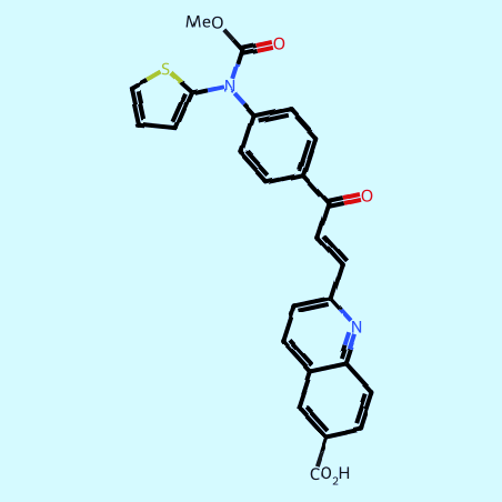 COC(=O)N(c1ccc(C(=O)/C=C/c2ccc3cc(C(=O)O)ccc3n2)cc1)c1cccs1